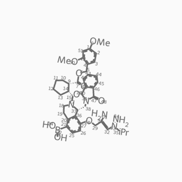 COc1ccc(COC(=O)[C@H]2CCCC[C@H]2C(=O)N2CCc3c(B(O)O)ccc(OC/C(N)=C/N(N)C(C)C)c3[C@H]2CN2Cc3ccccc3C2=O)c(OC)c1